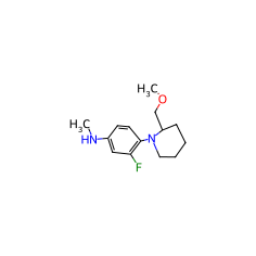 CNc1ccc(N2CCCCC2COC)c(F)c1